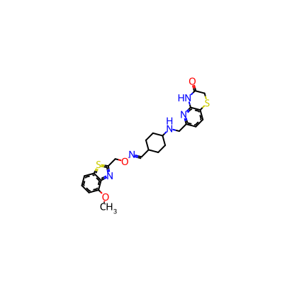 COc1cccc2sc(CO/N=C/C3CCC(NCc4ccc5c(n4)NC(=O)CS5)CC3)nc12